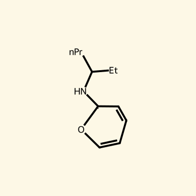 CCCC(CC)N[C]1C=CC=CO1